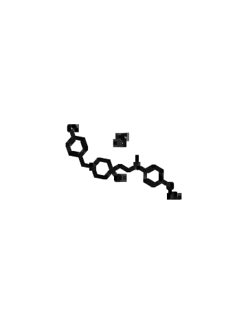 CCCCOc1ccc(N(C)CCC2(O)CCN(Cc3ccc(C#N)cc3)CC2)cc1.Cl.Cl